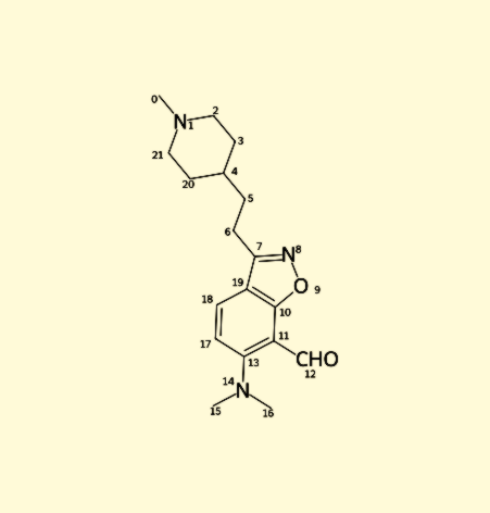 CN1CCC(CCc2noc3c(C=O)c(N(C)C)ccc23)CC1